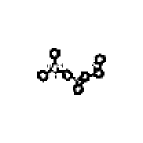 C1=CC(n2c3ccccc3c3cc(-c4cccc5c4sc4ccccc45)ccc32)CC=C1C1NC(c2ccccc2)NC(c2ccccc2)N1